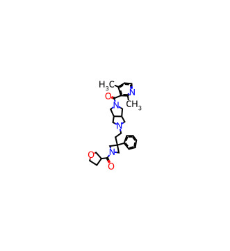 Cc1ccnc(C)c1C(=O)N1CC2CN(CCC3(c4ccccc4)CN(C(=O)C4CCOC4)C3)CC2C1